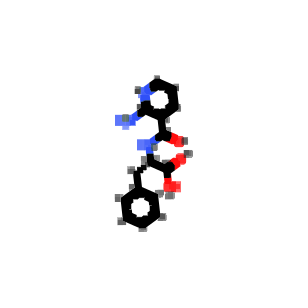 Nc1ncccc1C(=O)N[C@@H](Cc1ccccc1)C(=O)O